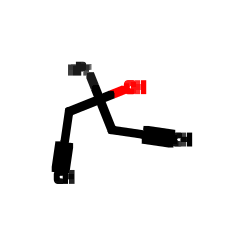 C#CCC(O)(CC#C)CCC